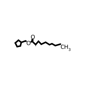 CCCCCCCC[CH]C(=O)OCC1CCCC1